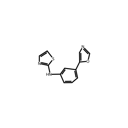 c1cc(Nc2nccs2)cc(-c2cnco2)c1